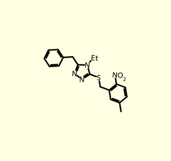 CCn1c(Cc2ccccc2)nnc1SCc1cc(C)ccc1[N+](=O)[O-]